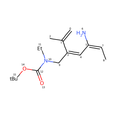 C=C(C)/C(=C\C(N)=C/C)CN(CC)C(=O)OC(C)(C)C